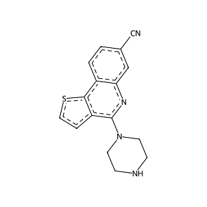 N#Cc1ccc2c(c1)nc(N1CCNCC1)c1ccsc12